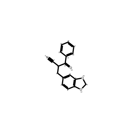 N#CC(Cc1ccc2c(c1)OCO2)C(=O)c1ccccc1